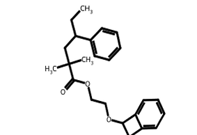 CCC(CC(C)(C)C(=O)OCCOC1Cc2ccccc21)c1ccccc1